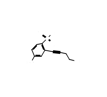 CCCC#Cc1cc(C)ccc1S(=O)(=O)O